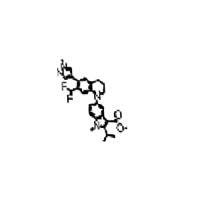 C=C(C)c1c(C(=O)OC)c2cc(N3CCCc4cc(-c5cnn(C)c5)c(C(F)F)cc43)ccc2n1C